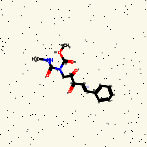 CNC(=O)N(CC(=O)C(=O)/C=C/c1ccccc1)C(=O)OC